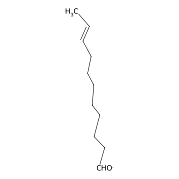 C/C=C/CCCCCCC[C]=O